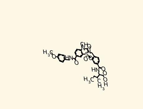 CCC(C)C(NC(=O)c1ccc(CN2C(=O)N(C)c3ccc(C(=O)NCc4ccc(OC)cc4)cc3S2(=O)=O)cc1)C(=O)O